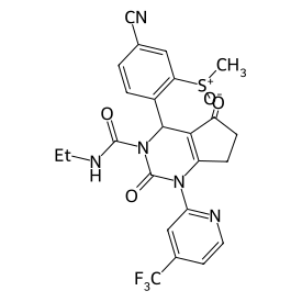 CCNC(=O)N1C(=O)N(c2cc(C(F)(F)F)ccn2)C2=C(C(=O)CC2)C1c1ccc(C#N)cc1[S+](C)[O-]